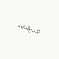 O=C(CO)NCCNC(=O)CCCCC1CCSS1